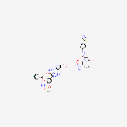 CCS(=O)(=O)Nc1ccc(-c2n[nH]c(Nc3ccc(C(=O)OCCOCC(=O)NC(C(=O)N4C[C@H](O)C[C@H]4C(=O)NCc4ccc(-c5scnc5C)cc4)C(C)(C)C)cn3)c2C(N)=O)cc1OC(C)c1ccc(F)cc1